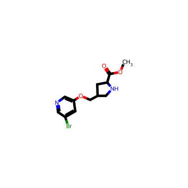 COC(=O)C1CC(COc2cncc(Br)c2)CN1